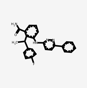 CC(c1ccc(F)cc1)c1c(Nc2ccc(-c3ccccc3)nn2)cccc1C(N)=O